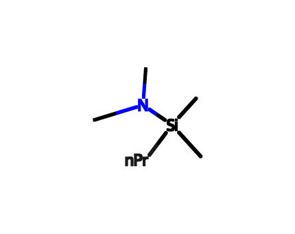 CCC[Si](C)(C)N(C)C